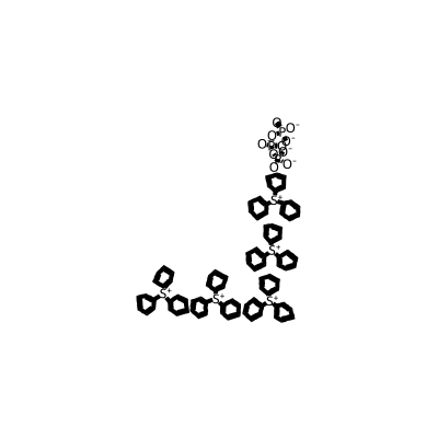 O=P([O-])([O-])OP(=O)([O-])OP(=O)([O-])[O-].c1ccc([S+](c2ccccc2)c2ccccc2)cc1.c1ccc([S+](c2ccccc2)c2ccccc2)cc1.c1ccc([S+](c2ccccc2)c2ccccc2)cc1.c1ccc([S+](c2ccccc2)c2ccccc2)cc1.c1ccc([S+](c2ccccc2)c2ccccc2)cc1